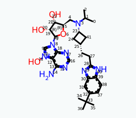 CC(C)N(C[C@H]1O[C@@H](n2c[n+](O)c3c(N)ncnc32)[C@H](O)[C@@H]1O)[C@H]1C[C@@H](CCc2nc3cc(C(C)(C)C)ccc3[nH]2)C1